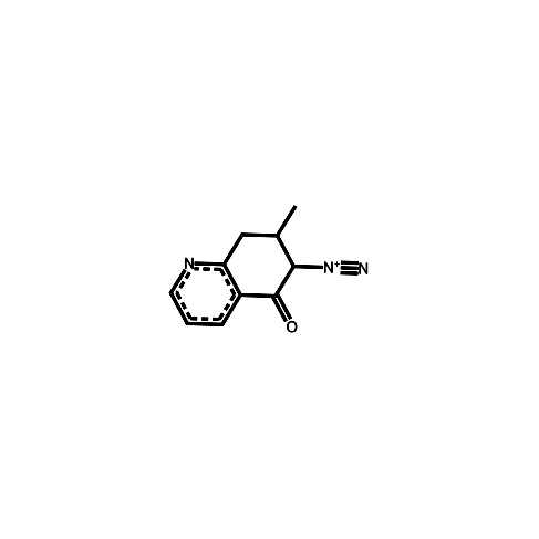 CC1Cc2ncccc2C(=O)C1[N+]#N